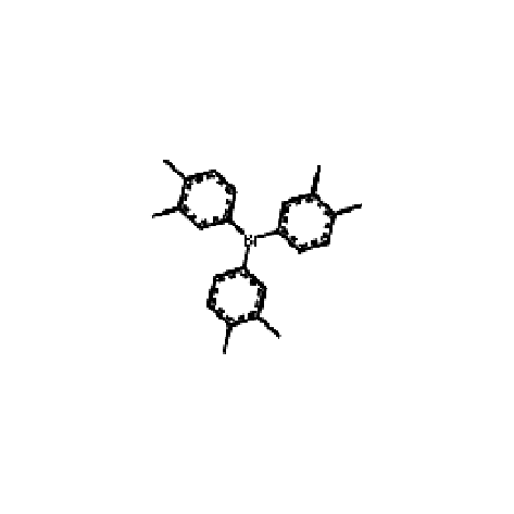 Cc1cc[c]([Bi]([c]2ccc(C)c(C)c2)[c]2ccc(C)c(C)c2)cc1C